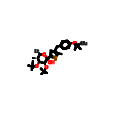 CC[C@H]1OC(O)(c2cc(Cc3ccc(O[Si](C)(C)C(C)(C)C)cc3)c(C)s2)[C@H](O[Si](C)(C)C)[C@@H](O[Si](C)(C)C)[C@@H]1C